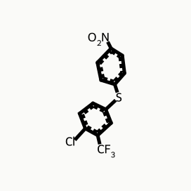 O=[N+]([O-])c1ccc(Sc2ccc(Cl)c(C(F)(F)F)c2)cc1